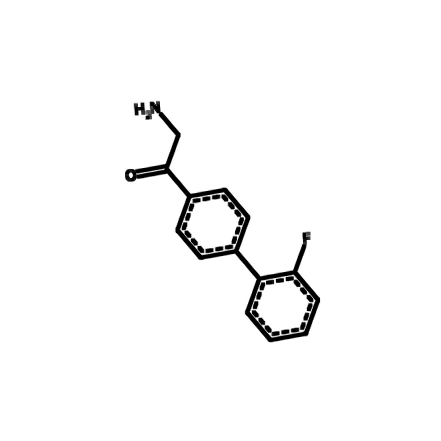 NCC(=O)c1ccc(-c2ccccc2F)cc1